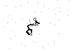 CC(=O)N[C@@H](C)Cc1ccsc1